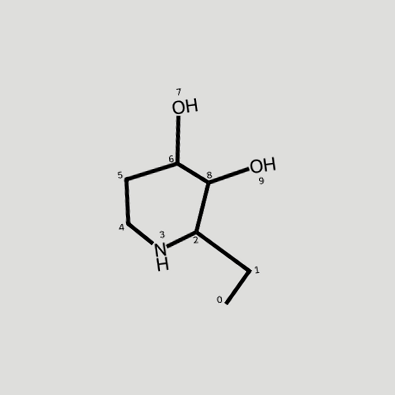 CCC1NCCC(O)C1O